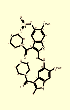 COc1cc2oc(C)c(C(=O)N3CCOCC3)c2cc1OCc1oc2cc(OC)c(O[SH](=O)=O)cc2c1C(=O)N1CCOCC1